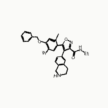 CCNC(=O)c1noc(-c2cc(C(C)C)c(OCc3ccccc3)cc2C)c1-c1ccc2c(c1)CCNC2